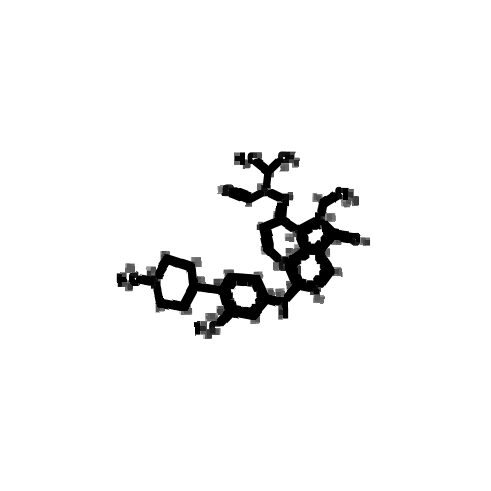 C/C=C\C(=N/N(C=O)C(C)C)n1c2nc(Nc3ccc(C4CCN(C)CC4)c(C)c3)ncc2c(=O)n1CC